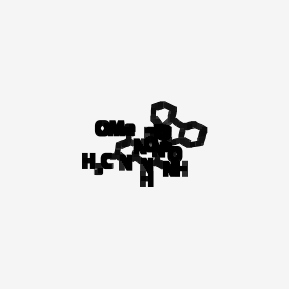 CCCON(C(=N)Nc1nc(C)cc(OC)n1)S(=O)(=O)c1ccccc1-c1ccccc1